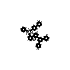 c1ccc(-c2ccc(-c3nc(-c4ccccc4)nc(-c4cccc5oc6c(-c7cc(-c8ccccc8)cc(-c8ccccc8)c7)cccc6c45)n3)cc2)cc1